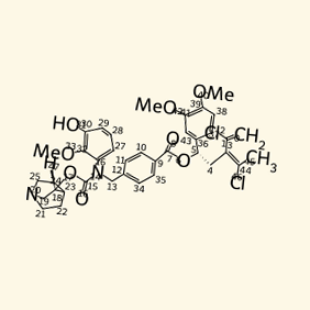 C=C(Cl)/C(C[C@H](OC(=O)c1ccc(CN(C(=O)O[C@H]2CN3CCC2CC3)c2cccc(O)c2OC)cc1)c1ccc(OC)c(OC)c1)=C(\C)Cl